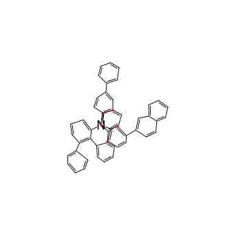 c1ccc(-c2ccc(N(c3cccc(-c4ccc5ccccc5c4)c3)c3cccc(-c4ccccc4)c3-c3ccccc3-c3ccccc3)cc2)cc1